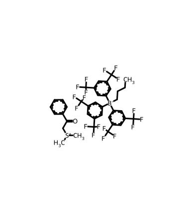 CCCC[B-](c1cc(C(F)(F)F)cc(C(F)(F)F)c1)(c1cc(C(F)(F)F)cc(C(F)(F)F)c1)c1cc(C(F)(F)F)cc(C(F)(F)F)c1.C[S+](C)CC(=O)c1ccccc1